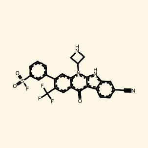 N#Cc1ccc2c(c1)[nH]c1c2c(=O)c2cc(C(F)(F)F)c(-c3cccc(S(=O)(=O)F)c3)cc2n1C1CNC1